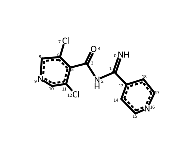 N=C(NC(=O)c1c(Cl)cncc1Cl)c1ccncc1